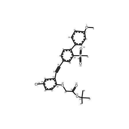 COc1ccc(-c2ccc(C#Cc3cc(Cl)ccc3OCC(=O)OC(C)(C)C)cc2S(C)(=O)=O)cc1